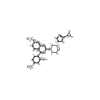 Cc1ccc(-c2nc(N3CCO[C@@H](c4cnn(C5CC5)c4)C3)nc3nc(C)ccc23)c(F)c1